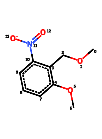 COCc1c(OC)cccc1[N+](=O)[O-]